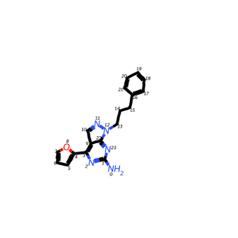 Nc1nc(-c2ccco2)c2cnn(CCCc3ccccc3)c2n1